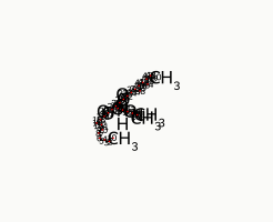 CC/C=C\C/C=C\C/C=C\C/C=C\C/C=C\CCCC(=O)OCCCC(CCCOC(=O)CCC/C=C\C/C=C\C/C=C\C/C=C\C/C=C\CC)OC(=O)NCCOCCN(C)C